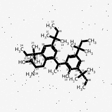 CCC(C)(C)c1cc(C(C)c2cc(C(C)(C)CC)cc(C(C)(C)CC)c2C[C@H](N)C(=O)O)c(O)c(C(C)(C)CC)c1